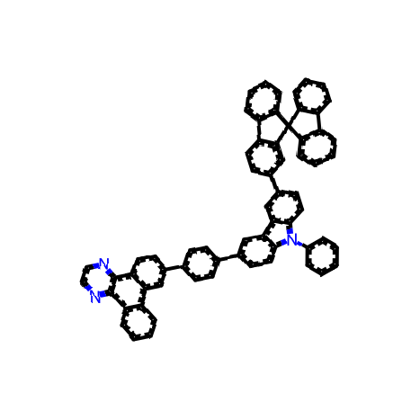 c1ccc(-n2c3ccc(-c4ccc(-c5ccc6c(c5)c5ccccc5c5nccnc65)cc4)cc3c3cc(-c4ccc5c(c4)C4(c6ccccc6-c6ccccc64)c4ccccc4-5)ccc32)cc1